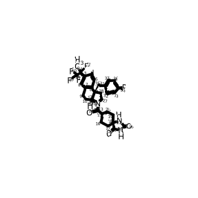 CC(F)(c1ccc2c(c1)CC[C@H]1N(C(=O)C3CCC4(CC3)NC(=O)NC4=O)CC[C@@]21Cc1ccc(F)cc1)C(F)(F)F